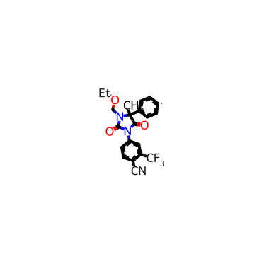 CCOCN1C(=O)N(c2ccc(C#N)c(C(F)(F)F)c2)C(=O)C1(C)c1cc[c]cc1